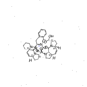 CC(=O)/N=C(/Cc1ccccc1Cl)C(=O)N1CCCC[C@]12C=C[C@@H]1CC[C@@H](C(=O)N3CC[C@@H]4C=C[C@H]5CC[C@@H](C(=O)O)N5C(=O)C43)N1C2=O